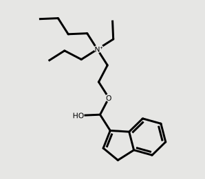 CCCC[N+](CC)(CCC)CCOC(O)C1=CCc2ccccc21